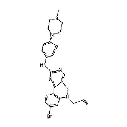 C=CCN1Sc2cnc(Nc3ccc(N4CCN(C)CC4)cc3)nc2-c2ccc(Br)cc21